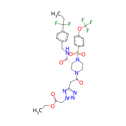 CCOC(=O)Cn1nnc(CC(=O)N2CCN(S(=O)(=O)c3ccc(OC(F)(F)F)cc3)[C@@H](C(=O)NCc3ccc(C(F)(F)CC)cc3)C2)n1